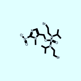 CC(C)N(CCBr)P(=O)(OCc1cnc([N+](=O)[O-])n1C)N(CCBr)C(C)C